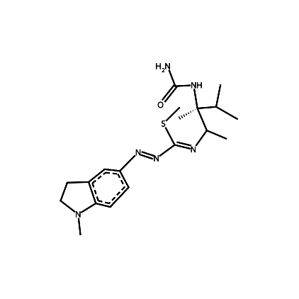 CSC(=N\C(C)[C@@](C)(NC(N)=O)C(C)C)/N=N/c1ccc2c(c1)CCN2C